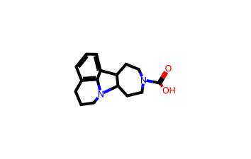 O=C(O)N1CCC2c3cccc4c3N(CCC4)C2CC1